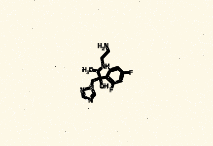 CC(NCCN)C(O)(Cn1cncn1)c1ccc(F)cc1F